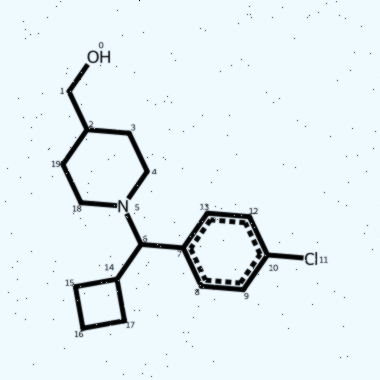 OCC1CCN(C(c2ccc(Cl)cc2)C2CCC2)CC1